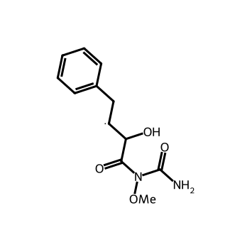 CON(C(N)=O)C(=O)C(O)[CH]Cc1ccccc1